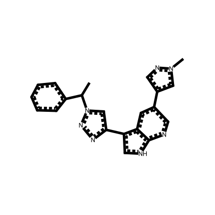 CC(c1ccccc1)n1cc(-c2c[nH]c3ncc(-c4cnn(C)c4)cc23)nn1